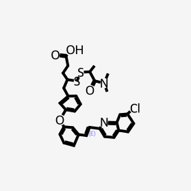 CC(SSC(CCC(=O)O)Cc1cccc(Oc2cccc(/C=C/c3ccc4ccc(Cl)cc4n3)c2)c1)C(=O)N(C)C